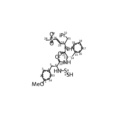 COc1ccc(C[C@H](NSS)C(=O)N[C@@H](Cc2ccccc2)C(=O)NC(/C=C/S(C)(=O)=O)CC(C)C)cc1